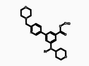 CCN(c1cc(C(=O)OC=O)cc(-c2ccc(CN3CCOCC3)nc2)c1)C1CCOCC1